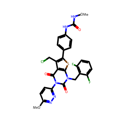 CONC(=O)Nc1ccc(-c2sc3c(c2CCl)c(=O)n(-c2ccc(OC)nn2)c(=O)n3Cc2c(F)cccc2F)cc1